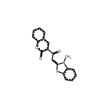 CN1C(=CC(=O)c2cc3ccccc3oc2=O)Sc2ccccc21